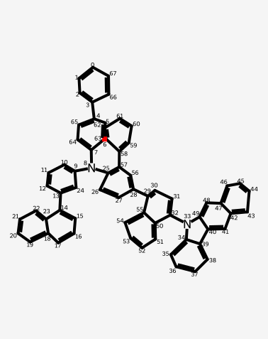 c1ccc(-c2ccc(N(c3cccc(-c4cccc5ccccc45)c3)c3ccc(-c4ccc(-n5c6ccccc6c6cc7ccccc7cc65)c5ccccc45)cc3-c3ccccc3)cc2)cc1